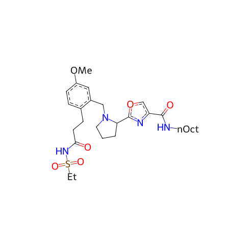 CCCCCCCCNC(=O)c1coc(C2CCCN2Cc2cc(OC)ccc2CCC(=O)NS(=O)(=O)CC)n1